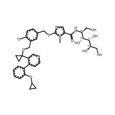 Cn1c(C(=O)N[C@@H](CO)[C@@H](O)[C@H](O)[C@H](O)CO)cnc1SCc1ccc(Cl)c(COC2(c3cnccc3-c3ccccc3OC3CC3)CC2)c1